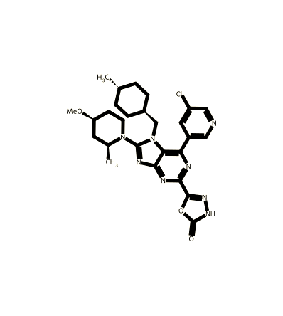 CO[C@H]1CCN(c2nc3nc(-c4n[nH]c(=O)o4)nc(-c4cncc(Cl)c4)c3n2C[C@H]2CC[C@H](C)CC2)[C@@H](C)C1